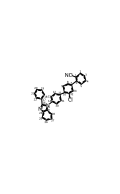 N#Cc1ccccc1-c1ccc(-c2ccc(-n3c(-c4ccccc4)nc4ccccc43)cc2)c(Cl)c1